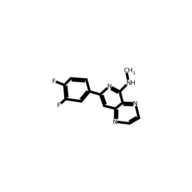 CNc1nc(-c2ccc(F)c(F)c2)cc2nccnc12